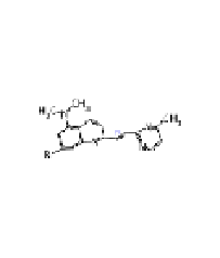 Cc1ccnc(/C=C/c2ccc3c(N(C)C)cc(Br)cc3n2)n1